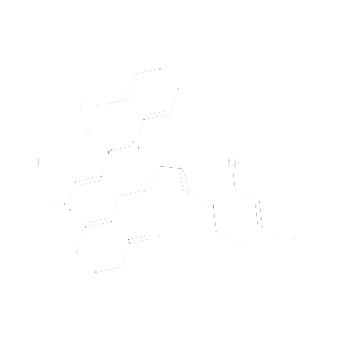 CC1=C(C(=O)Nc2ccccc2C)C(c2ccc(-c3ccc(C(F)(F)F)cc3[N+](=O)[O-])o2)C2=C(CCCC2=O)N1